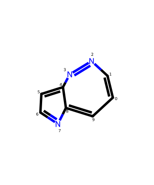 c1cnnc2ccnc-2c1